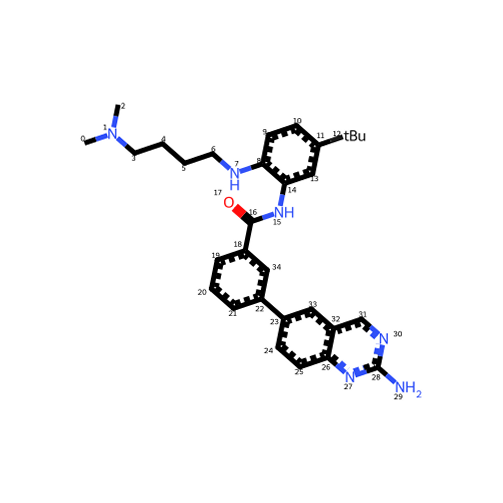 CN(C)CCCCNc1ccc(C(C)(C)C)cc1NC(=O)c1cccc(-c2ccc3nc(N)ncc3c2)c1